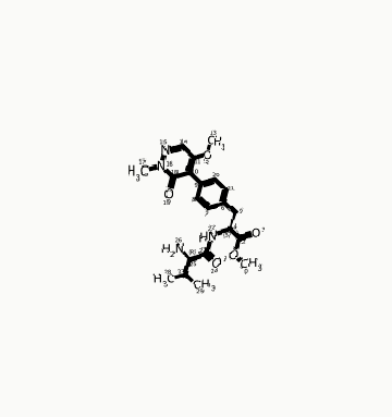 COC(=O)[C@H](Cc1ccc(-c2c(OC)cnn(C)c2=O)cc1)NC(=O)[C@H](N)C(C)C